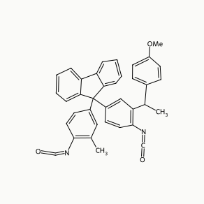 COc1ccc(C(C)c2cc(C3(c4ccc(N=C=O)c(C)c4)c4ccccc4-c4ccccc43)ccc2N=C=O)cc1